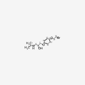 CC(C)NCC(O)COc1ccc(OCCBr)cc1